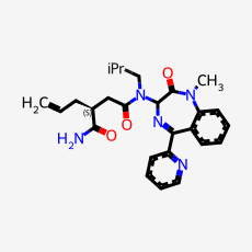 C=CC[C@@H](CC(=O)N(CC(C)C)C1N=C(c2ccccn2)c2ccccc2N(C)C1=O)C(N)=O